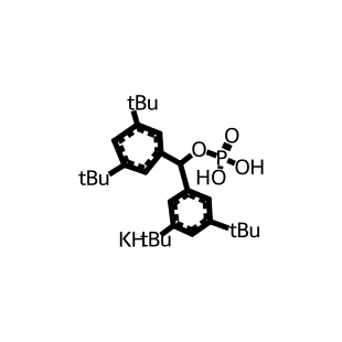 CC(C)(C)c1cc(C(OP(=O)(O)O)c2cc(C(C)(C)C)cc(C(C)(C)C)c2)cc(C(C)(C)C)c1.[KH]